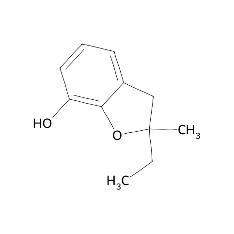 CCC1(C)Cc2cccc(O)c2O1